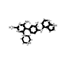 Nc1nc(N)c(-c2ccc(Oc3ccnc4[nH]ccc34)c(F)c2)c(N2CCNCC2)n1